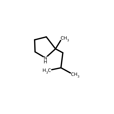 CC(C)CC1(C)CCCN1